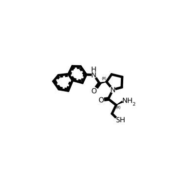 N[C@@H](CS)C(=O)N1CCC[C@@H]1C(=O)Nc1ccc2ccccc2c1